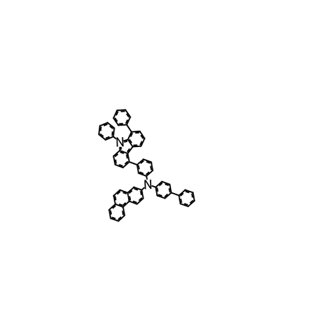 c1ccc(-c2ccc(N(c3cccc(-c4cccc5c4c4cccc(-c6ccccc6)c4n5-c4ccccc4)c3)c3ccc4c(ccc5ccccc54)c3)cc2)cc1